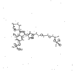 CC(COCCOCCn1cc(-c2nn(C3CCCCO3)c3c(F)cc(O[Si](C)(C)C(C)(C)C)cc23)cn1)OS(C)(=O)=O